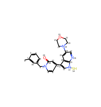 Cc1cccc(Cn2ccc(-c3cn(S)c4ncc(N5CCOCC5)cc34)cc2=O)c1